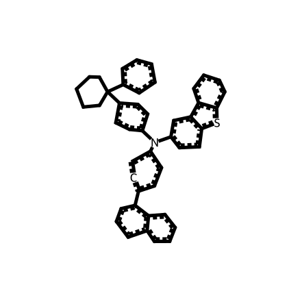 c1ccc(C2(c3ccc(N(c4ccc(-c5cccc6ccccc56)cc4)c4ccc5sc6ccccc6c5c4)cc3)CCCCC2)cc1